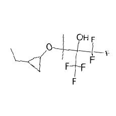 CCC1CC1OC(C)(C)C(O)(C(F)(F)F)C(F)(F)F